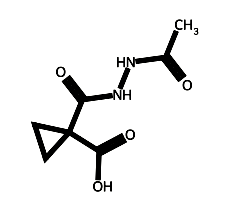 CC(=O)NNC(=O)C1(C(=O)O)CC1